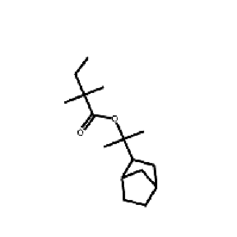 CCC(C)(C)C(=O)OC(C)(C)C1CC2CCC1C2